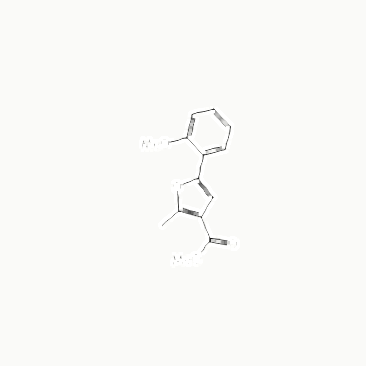 COC(=O)c1cc(-c2ccccc2OC)oc1C